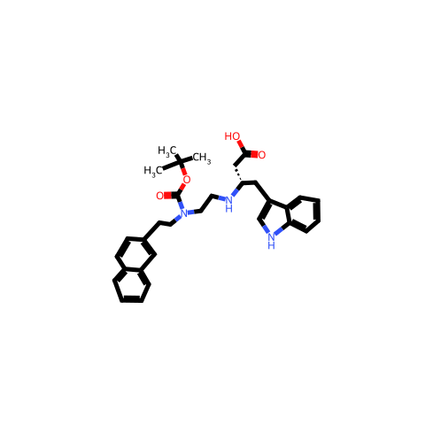 CC(C)(C)OC(=O)N(CCN[C@H](CC(=O)O)Cc1c[nH]c2ccccc12)CCc1ccc2ccccc2c1